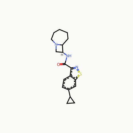 O=C(N[C@H]1CN2CCCCCC12)c1nsc2cc(C3CC3)ccc12